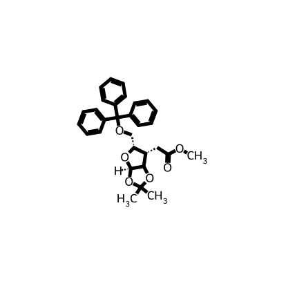 COC(=O)C[C@@H]1C2OC(C)(C)O[C@H]2O[C@@H]1COC(c1ccccc1)(c1ccccc1)c1ccccc1